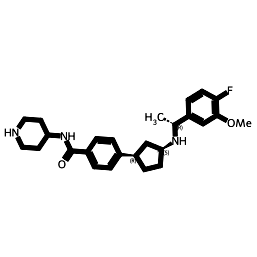 COc1cc([C@@H](C)N[C@H]2CC[C@@H](c3ccc(C(=O)NC4CCNCC4)cc3)C2)ccc1F